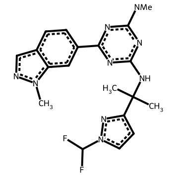 CNc1nc(NC(C)(C)c2ccn(C(F)F)n2)nc(-c2ccc3cnn(C)c3c2)n1